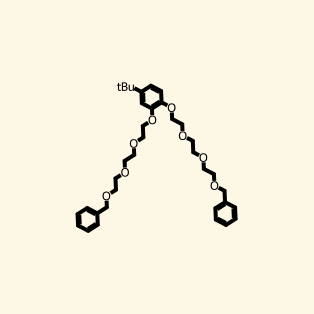 CC(C)(C)c1ccc(OCCOCCOCCOCc2ccccc2)c(OCCOCCOCCOCc2ccccc2)c1